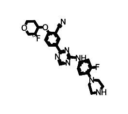 N#Cc1cc(-c2ncnc(Nc3ccc(N4CCNCC4)c(F)c3)n2)ccc1OC1CCOC[C@@H]1F